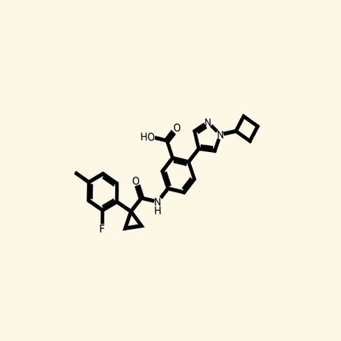 Cc1ccc(C2(C(=O)Nc3ccc(-c4cnn(C5CCC5)c4)c(C(=O)O)c3)CC2)c(F)c1